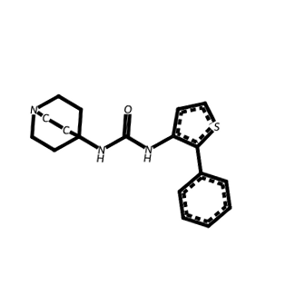 O=C(Nc1ccsc1-c1ccccc1)NC12CCN(CC1)CC2